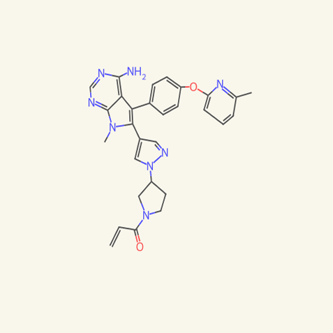 C=CC(=O)N1CCC(n2cc(-c3c(-c4ccc(Oc5cccc(C)n5)cc4)c4c(N)ncnc4n3C)cn2)C1